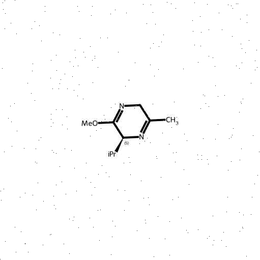 COC1=NCC(C)=N[C@H]1C(C)C